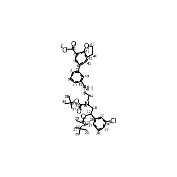 COC(=O)c1cc(-c2cccc(NCCN(CC(O[Si](C)(C)C(C)(C)C)c3cccc(Cl)c3)C(=O)OC(C)(C)C)c2)cc2c1OCC2